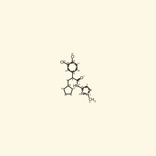 Cn1ccc(NC(=O)C(CC2CCCC2)c2ccc(Cl)c(Cl)c2)n1